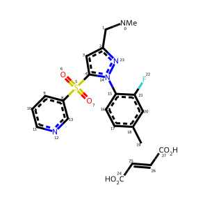 CNCc1cc(S(=O)(=O)c2cccnc2)n(-c2ccc(C)cc2F)n1.O=C(O)C=CC(=O)O